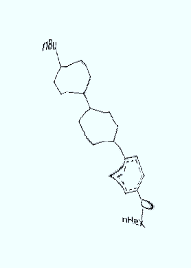 CCCCCCOc1ccc(C2CCC(C3CCC(CCCC)CC3)CC2)cc1